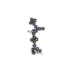 CC1(C)c2ccccc2-c2ccc(N(c3ccc(-c4ccc5c(c4)-c4ccccc4C54c5ccccc5-c5cc(-c6ccc7c(c6)-c6ccc(N(c8ccc(-c9ccccc9)cc8)c8ccc(-c9ccc%10c(c9)-c9ccccc9C%109c%10ccccc%10-c%10ccccc%109)cc8)cc6C7(C)C)ccc54)cc3)c3cccc(-c4ccccc4)c3)cc21